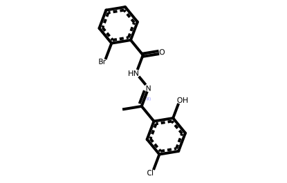 C/C(=N\NC(=O)c1ccccc1Br)c1cc(Cl)ccc1O